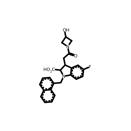 O=C(O)C1C(CC(=O)N2CC(O)C2)c2cc(F)ccc2N1Cc1cccc2ccccc12